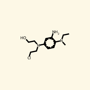 CCN(C)c1ccc(N(CCO)CCCl)cc1N